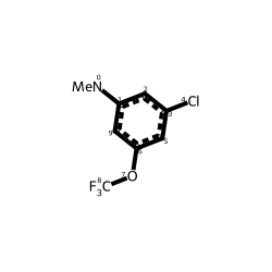 CNc1cc(Cl)cc(OC(F)(F)F)c1